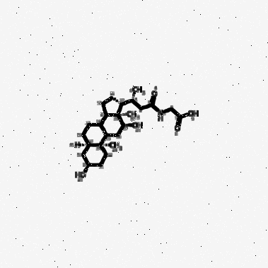 C[C@H](CC(=O)NCC(=O)O)[C@H]1CCC2C3CC[C@@H]4C[C@H](O)CC[C@]4(C)C3C[C@H](O)[C@@]21C